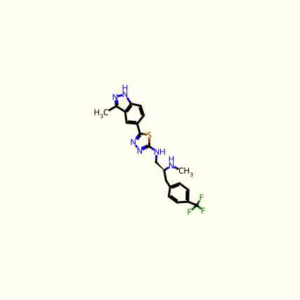 CN[C@H](CNc1nnc(-c2ccc3[nH]nc(C)c3c2)s1)Cc1ccc(C(F)(F)F)cc1